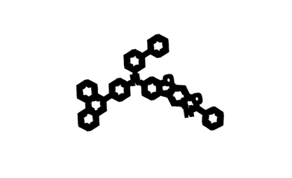 c1ccc(-c2cccc(N(c3ccc(-c4cc5ccccc5c5ccccc45)cc3)c3ccc4c(c3)oc3cc5oc(-c6ccccc6)nc5cc34)c2)cc1